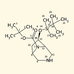 CC(C)(C)OC(=O)N1C2CNCC1[C@H](O[Si](C)(C)C(C)(C)C)C2